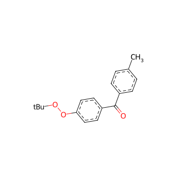 Cc1ccc(C(=O)c2ccc(OOC(C)(C)C)cc2)cc1